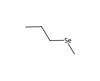 CCC[Se]C